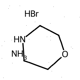 Br.C1COCCN1.N